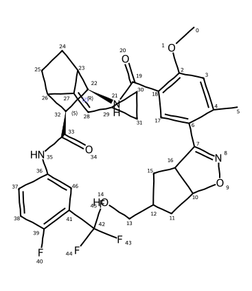 COc1cc(C)c(C2=NOC3CC(CO)CC23)cc1C(=O)N[C@@H]1C2CCC(/C2=C/C2CC2)[C@@H]1C(=O)Nc1ccc(F)c(C(F)(F)F)c1